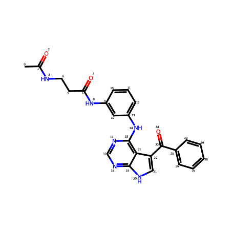 CC(=O)NCCC(=O)Nc1cccc(Nc2ncnc3[nH]cc(C(=O)c4ccccc4)c23)c1